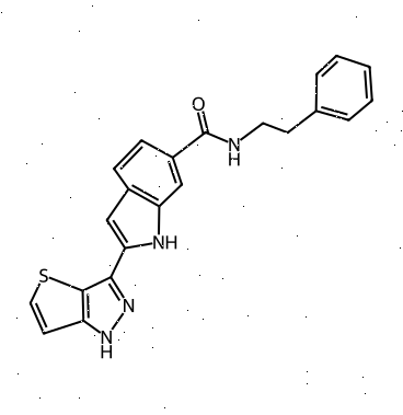 O=C(NCCc1ccccc1)c1ccc2cc(-c3n[nH]c4ccsc34)[nH]c2c1